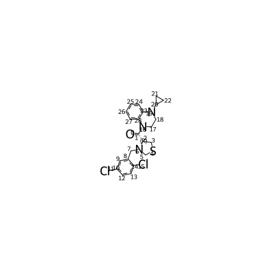 O=C([C@@H]1CSCN1Cc1cc(Cl)ccc1Cl)N1CCN(C2CC2)c2ccccc21